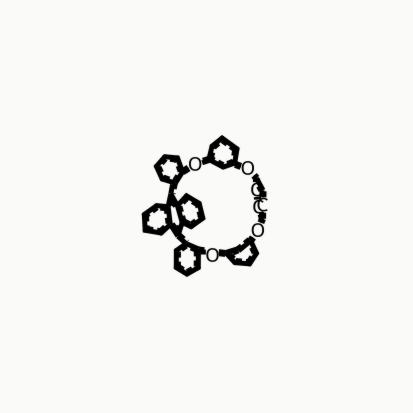 c1cc2cc(c1)oc1ccccc1c1c3ccccc3c(c3ccccc3oc3cccc(c3)oc3ccc(cc3)o2)c2ccccc21